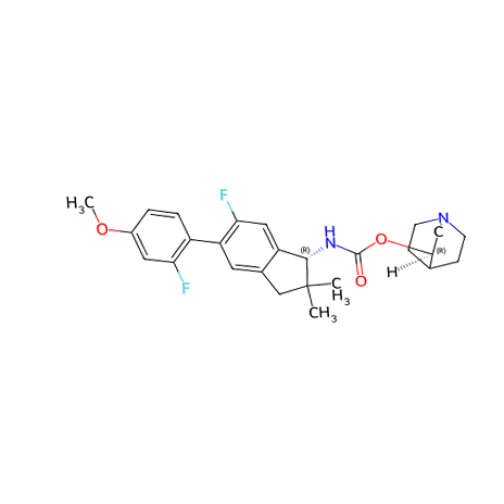 COc1ccc(-c2cc3c(cc2F)[C@H](NC(=O)O[C@H]2CN4CCC2CC4)C(C)(C)C3)c(F)c1